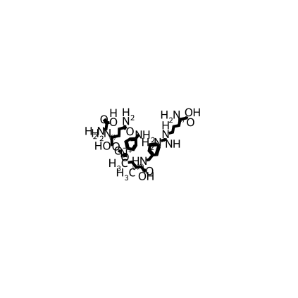 CC[C@H](C)[C@H](NCc1ccccc1)C(=O)O.N=C(N)NCCC[C@H](N)C(=O)O.NC(=O)CC[C@H](N)C(=O)O.NCC(=O)O.Nc1ccc([N+](=O)[O-])cc1